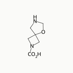 O=C(O)N1CC2(CNCO2)C1